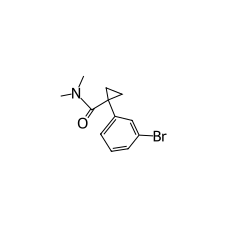 CN(C)C(=O)C1(c2cccc(Br)c2)CC1